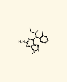 CCC(C)N(c1ccccc1C)c1nc(N)nc2c1cnn2C